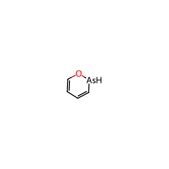 C1=CO[AsH]C=C1